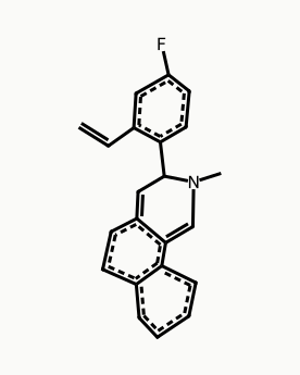 C=Cc1cc(F)ccc1C1C=c2ccc3ccccc3c2=CN1C